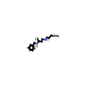 CNCCCNCCC(Cl)NCc1ccccc1